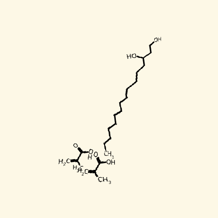 C=C(C)C(=O)O.C=C(C)C(=O)O.CCCCCCCCCCCCCC(O)CCO